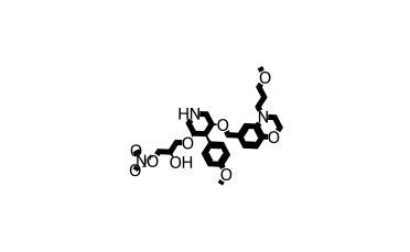 COCCCN1CCOc2ccc(CO[C@H]3CNC[C@@H](OC[C@H](O)CO[N+](=O)[O-])[C@@H]3c3ccc(OC)cc3)cc21